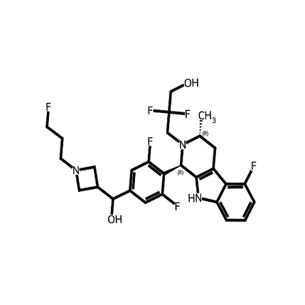 C[C@@H]1Cc2c([nH]c3cccc(F)c23)[C@@H](c2c(F)cc(C(O)C3CN(CCCF)C3)cc2F)N1CC(F)(F)CO